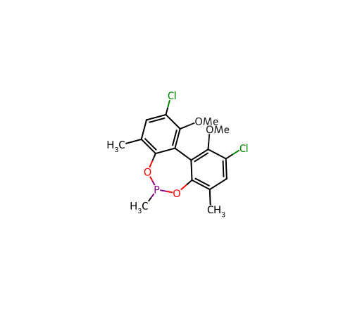 COc1c(Cl)cc(C)c2op(C)oc3c(C)cc(Cl)c(OC)c3c12